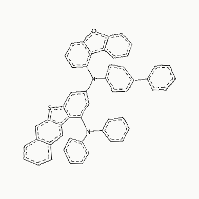 c1ccc(-c2ccc(N(c3cc(N(c4ccccc4)c4ccccc4)c4c(c3)sc3cc5ccccc5cc34)c3cccc4oc5ccccc5c34)cc2)cc1